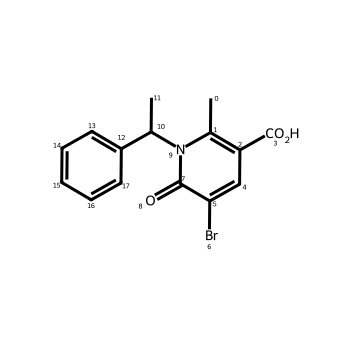 Cc1c(C(=O)O)cc(Br)c(=O)n1C(C)c1ccccc1